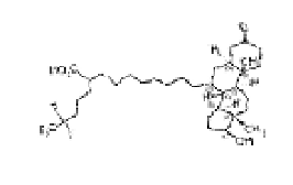 C[C@]12CCC(=O)C[C@@H]1C[C@H](CCCCCCCCC(CCCC(F)(F)C(F)(F)F)C(=O)O)[C@@H]1[C@@H]2CC[C@]2(C)[C@@H](O)CC[C@@H]12